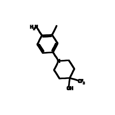 Cc1cc(N2CCC(O)(C(F)(F)F)CC2)ccc1N